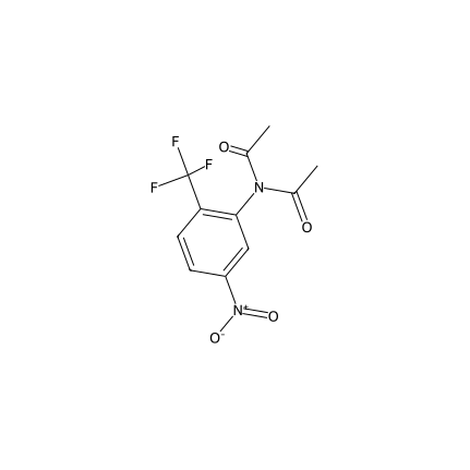 CC(=O)N(C(C)=O)c1cc([N+](=O)[O-])ccc1C(F)(F)F